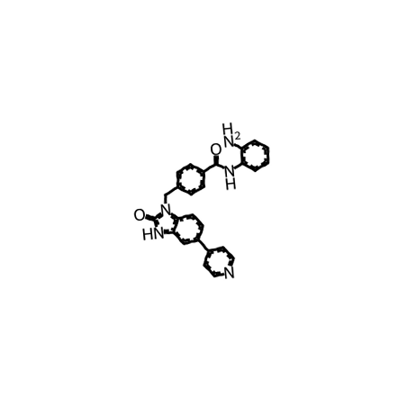 Nc1ccccc1NC(=O)c1ccc(Cn2c(=O)[nH]c3cc(-c4ccncc4)ccc32)cc1